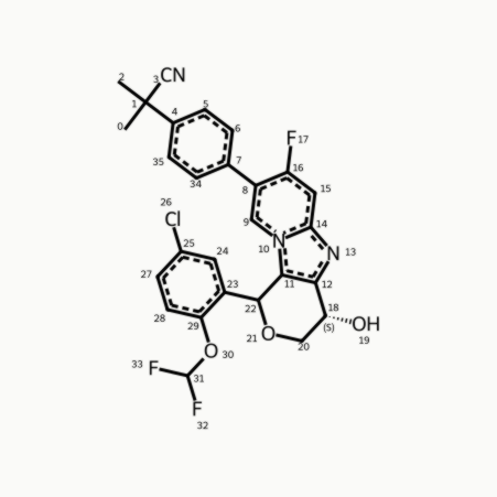 CC(C)(C#N)c1ccc(-c2cn3c4c(nc3cc2F)[C@H](O)COC4c2cc(Cl)ccc2OC(F)F)cc1